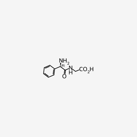 N[C@@H](C(=O)NCC(=O)O)c1ccccc1